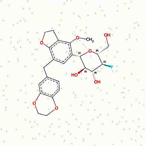 COc1c([C@@H]2O[C@H](CO)[C@@H](F)[C@H](O)[C@H]2O)cc(Cc2ccc3c(c2)OCCO3)c2c1CCO2